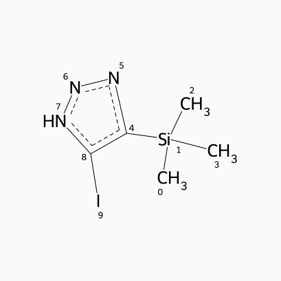 C[Si](C)(C)c1nn[nH]c1I